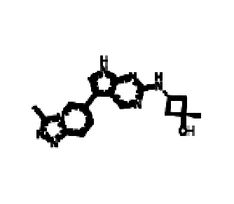 Cc1nnc2ccc(-c3c[nH]c4nc(N[C@H]5C[C@@](C)(O)C5)ncc34)cn12